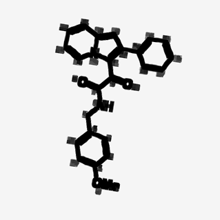 COc1ccc(CNC(=O)C(=O)c2c(-c3ccccc3)cc3ccccn23)cc1